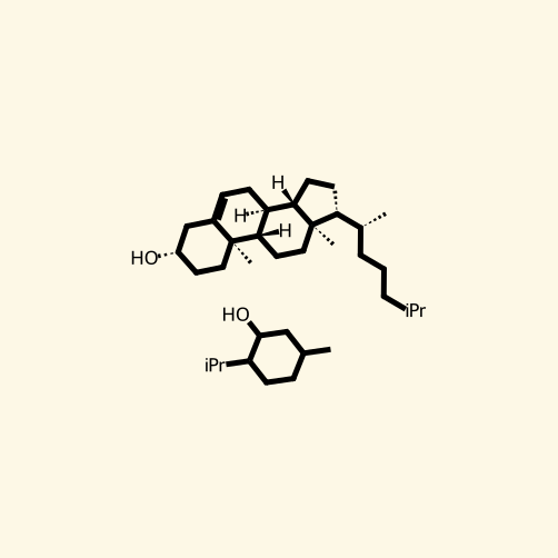 CC(C)CCC[C@@H](C)[C@H]1CC[C@H]2[C@@H]3CC=C4C[C@@H](O)CC[C@]4(C)[C@H]3CC[C@]12C.CC1CCC(C(C)C)C(O)C1